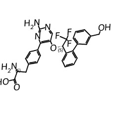 Nc1ncc(O[C@@H](c2ccccc2-c2cccc(CO)c2)C(F)(F)F)c(-c2ccc(C[C@H](N)C(=O)O)cc2)n1